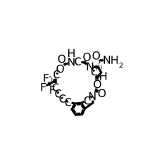 C[C@@]1(C(F)(F)F)CCCCc2cccc3c2CN(C3)C(=O)O[C@@H]2C[C@@H](C(N)=O)N(C2)C(=O)CNC(=O)OC1